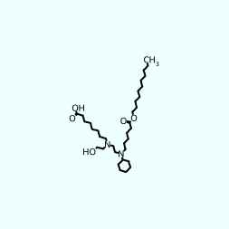 CCCCCCCCCCCOC(=O)CCCCCN(CCN(CCO)CCCCCCCC(=O)O)C1CCCCC1